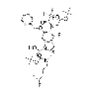 CC(C)(C)OC(=O)CN(C(=O)C(F)(F)F)c1c(OCc2ccccc2)cc2c(c1F)C[C@H](CN(CCCC(F)F)C(=O)OC(C)(C)C)N2C(=O)O